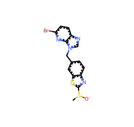 C[S+]([O-])c1nc2ccc(Cn3cnc4ccc(Br)nc43)cc2s1